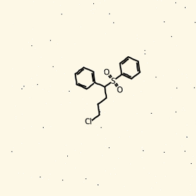 O=S(=O)(c1ccccc1)C(CCCCl)c1ccccc1